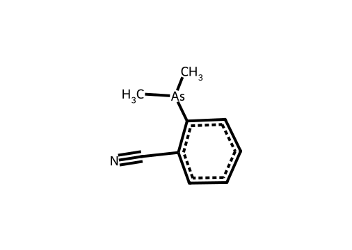 C[As](C)c1ccccc1C#N